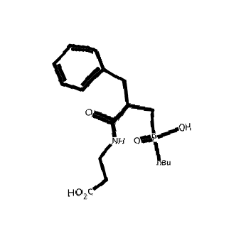 CCCCP(=O)(O)CC(Cc1ccccc1)C(=O)NCCC(=O)O